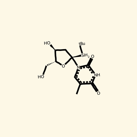 Cc1cn([C@@]2([SiH2]C(C)(C)C)C[C@H](O)[C@@H](CO)O2)c(=O)[nH]c1=O